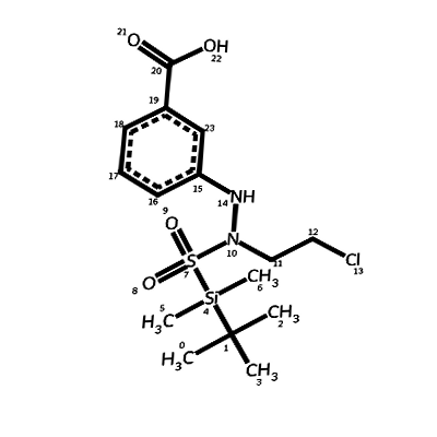 CC(C)(C)[Si](C)(C)S(=O)(=O)N(CCCl)Nc1cccc(C(=O)O)c1